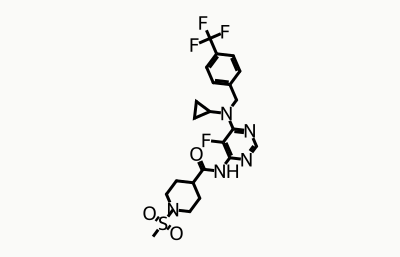 CS(=O)(=O)N1CCC(C(=O)Nc2ncnc(N(Cc3ccc(C(F)(F)F)cc3)C3CC3)c2F)CC1